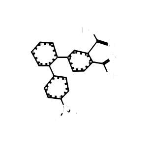 O=C(O)c1ccc(-c2ccccc2-c2ccc([N+](=O)[O-])cc2)cc1C(=O)O